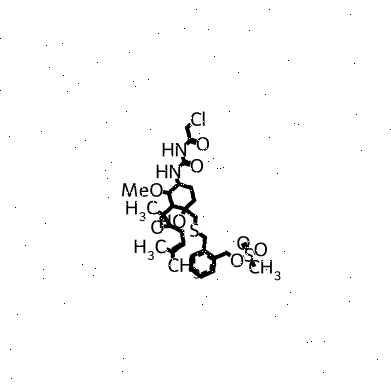 COC1C(NC(=O)NC(=O)CCl)CCC(O)(CSCc2ccccc2COS(C)(=O)=O)C1C1(C)OC1CC=C(C)C